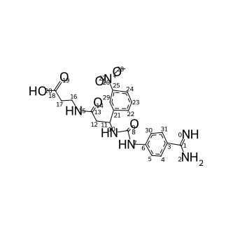 N=C(N)c1ccc(NC(=O)NC(CC(=O)NCCC(=O)O)c2cccc([N+](=O)[O-])c2)cc1